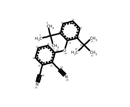 CC(C)(C)c1cccc(C(C)(C)C)c1Oc1cccc(C#N)c1C#N